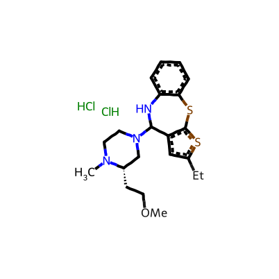 CCc1cc2c(s1)Sc1ccccc1NC2N1CCN(C)[C@@H](CCOC)C1.Cl.Cl